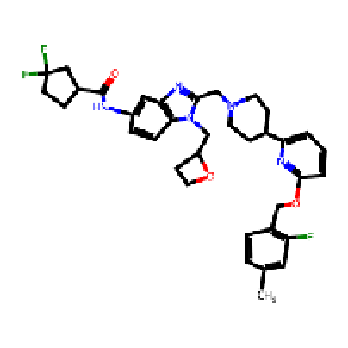 Cc1ccc(COc2cccc(C3CCN(Cc4nc5cc(NC(=O)C6CCC(F)(F)C6)ccc5n4CC4CCO4)CC3)n2)c(F)c1